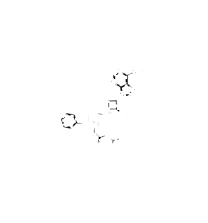 C=C1[C@H](COP(=O)(N[C@@H](C)C(=O)OC(C)C)Oc2ccccc2)C[C@@H]1n1cnc2c(N)ncnc21